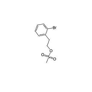 CS(=O)(=O)OCCc1ccccc1Br